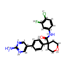 Nc1ncc(-c2ccc(C3(C(=O)Nc4ccc(Cl)c(F)c4)CCOCC3)cc2)cn1